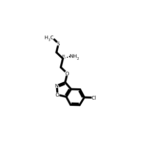 CSC[C@H](N)COc1noc2ccc(Cl)cc12